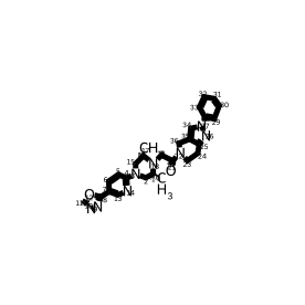 C[C@@H]1CN(c2ccc(-c3nnco3)cn2)C[C@H](C)N1CC(=O)N1CCc2nn(-c3ccccc3)cc2C1